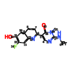 CC(C)Nc1ncc(-c2ccc3cc(O)c(F)cc3n2)c(=O)n1C